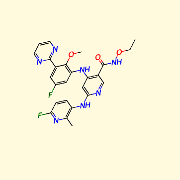 CCONC(=O)c1cnc(Nc2ccc(F)nc2C)cc1Nc1cc(F)cc(-c2ncccn2)c1OC